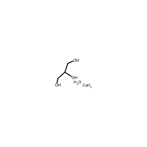 O.OCC(O)CO.[CaH2]